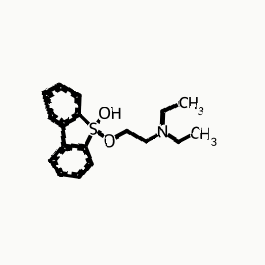 CCN(CC)CCOS1(O)c2ccccc2-c2ccccc21